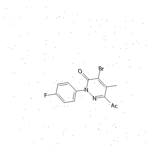 CC(=O)c1nn(-c2ccc(F)cc2)c(=O)c(Br)c1C